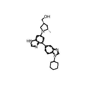 C[C@H]1C[C@H](CO)CN1c1cc(-c2ccc3c(c2)ncn3C2CCCCC2)c2nc[nH]c2c1